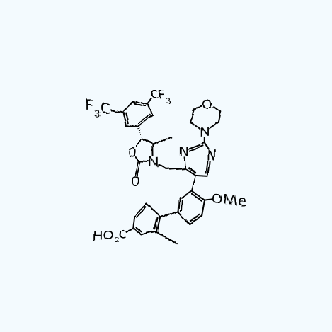 COc1ccc(-c2ccc(C(=O)O)cc2C)cc1-c1cnc(N2CCOCC2)nc1CN1C(=O)O[C@H](c2cc(C(F)(F)F)cc(C(F)(F)F)c2)C1C